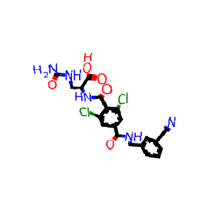 N#Cc1cccc(CNC(=O)c2cc(Cl)c(C(=O)N[C@@H](CNC(N)=O)C(=O)O)c(Cl)c2)c1